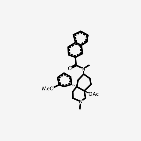 COc1cccc([C@@]23CCN(C)C[C@@]2(OC(C)=O)CC[C@H](N(C)C(=O)c2ccc4ccccc4c2)C3)c1